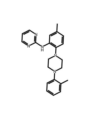 Cc1ccc(N2CCN(c3ccccc3C)CC2)c(Nc2ncccn2)c1